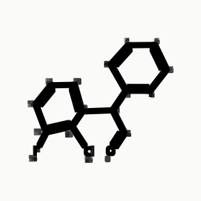 O=[C]C(c1ccccc1)c1cccc(F)c1Cl